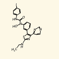 CCNc1nc(-c2ccncn2)c(-c2cccc(N(O)C(=O)Nc3ccc(I)cc3)c2)s1